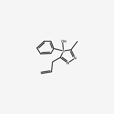 C=CCC1=NN=C(C)S1(O)c1ccccc1